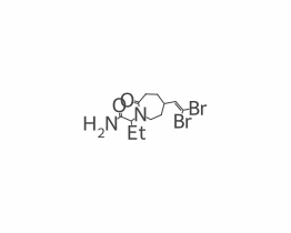 CCC(C(N)=O)N1CCC(C=C(Br)Br)CCC1=O